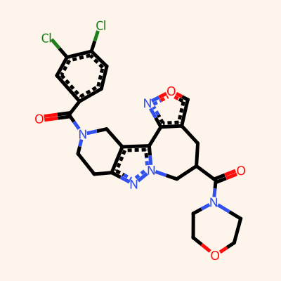 O=C(c1ccc(Cl)c(Cl)c1)N1CCc2nn3c(c2C1)-c1nocc1CC(C(=O)N1CCOCC1)C3